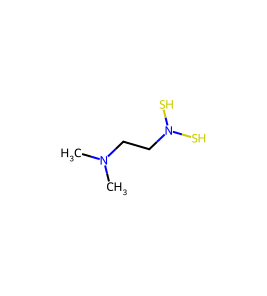 CN(C)CCN(S)S